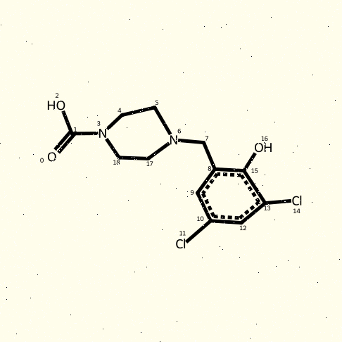 O=C(O)N1CCN(Cc2cc(Cl)cc(Cl)c2O)CC1